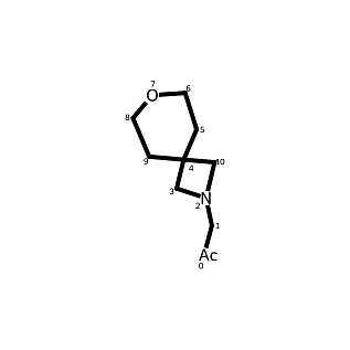 CC(=O)CN1CC2(CCOCC2)C1